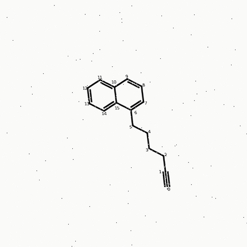 [C]#CCCCCc1cccc2ccccc12